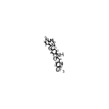 Cn1ccc2c(Oc3ccc(NC(=O)Cc4ccc(C(F)(F)F)cn4)cc3)ncnc21